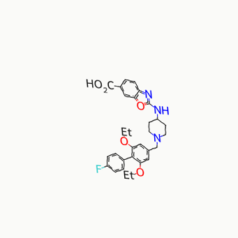 CCOc1cc(CN2CCC(Nc3nc4ccc(C(=O)O)cc4o3)CC2)cc(OCC)c1-c1ccc(F)cc1